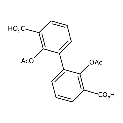 CC(=O)Oc1c(C(=O)O)cccc1-c1cccc(C(=O)O)c1OC(C)=O